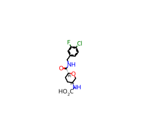 O=C(O)N[C@@H]1CC[C@H](C(=O)NCc2ccc(Cl)c(F)c2)OC1